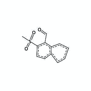 CS(=O)(=O)c1ccc2ccccc2c1C=O